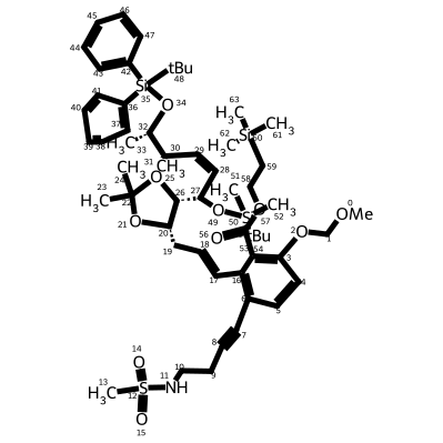 COCOc1ccc(C#CCCNS(C)(=O)=O)c(/C=C/C[C@@H]2OC(C)(C)O[C@@H]2C(/C=C\[C@@H](C)[C@H](C)O[Si](c2ccccc2)(c2ccccc2)C(C)(C)C)O[Si](C)(C)C(C)(C)C)c1C(=O)OCC[Si](C)(C)C